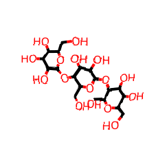 OCC1OC(OC2C(CO)OC(OC3C(CO)OC(CO)C(O)C3O)C(O)C2O)C(O)C(O)C1O